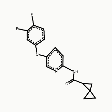 O=C(Nc1ccc(Oc2ccc(F)c(F)c2)cn1)C1CC12CC2